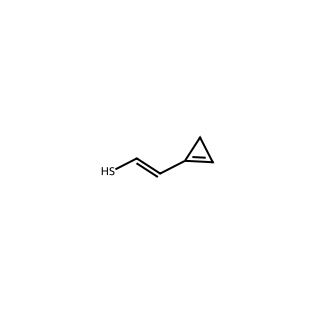 S/C=C/C1=CC1